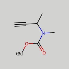 C#CC(C)N(C)C(=O)OC(C)(C)C